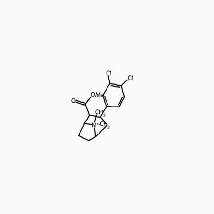 COC(=O)C1C(c2ccc(Cl)c(Cl)c2)CC2CCC1[N+]2(C)C